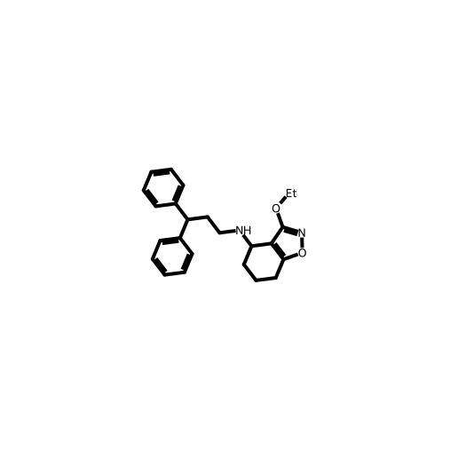 CCOc1noc2c1C(NCCC(c1ccccc1)c1ccccc1)CCC2